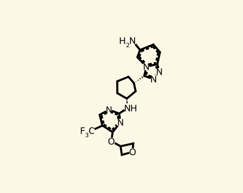 Nc1ccc2nnc([C@H]3CCC[C@@H](Nc4ncc(C(F)(F)F)c(OC5COC5)n4)C3)n2c1